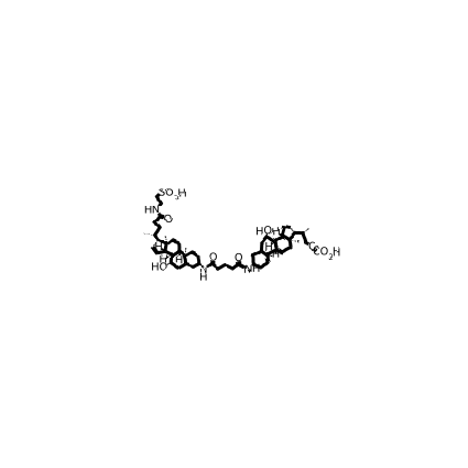 C[C@H](CCC(=O)O)[C@H]1CC[C@H]2[C@@H]3[C@@H](O)CC4C[C@H](NC(=O)CCCC(=O)N[C@@H]5CC[C@@]6(C)C(C5)C[C@H](O)[C@H]5[C@@H]7CC[C@H]([C@H](C)CCC(=O)NCCS(=O)(=O)O)[C@@]7(C)CC[C@@H]56)CC[C@]4(C)[C@H]3CC[C@]12C